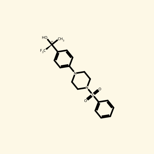 C[C@@](O)(c1ccc(N2CCN(S(=O)(=O)c3ccccc3)CC2)cc1)C(F)(F)F